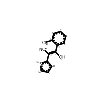 N#CC(=C(O)c1ccccc1Cl)c1cccs1